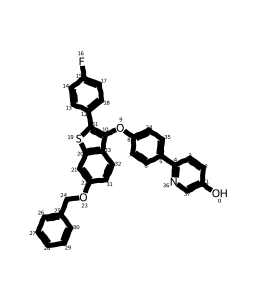 Oc1ccc(-c2ccc(Oc3c(-c4ccc(F)cc4)sc4cc(OCc5ccccc5)ccc34)cc2)nc1